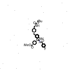 COC(=O)[C@H]1CC[C@@H](n2/c(=N/C(=O)c3ccc(F)cc3)[nH]c3ccc(CN4CCC(CNC(=O)OC(C)(C)C)CC4)cc32)CC1